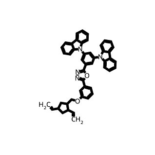 C=CC1CC(C=C)C(COc2cccc(-c3nnc(-c4cc(-n5c6ccccc6c6ccccc65)cc(-n5c6ccccc6c6ccccc65)c4)o3)c2)C1